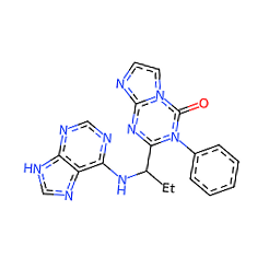 CCC(Nc1ncnc2[nH]cnc12)c1nc2nccn2c(=O)n1-c1ccccc1